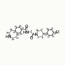 O=C(NCC(=O)N1CCC(c2ccc(Cl)cc2)CC1)c1ccc2c(c1)CCNCC2